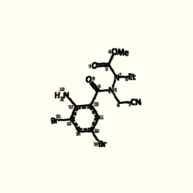 CCN(C(=O)OC)N(CC#N)C(=O)c1cc(Br)cc(Br)c1N